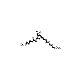 CCCCCCCCCCCCCCCCCCN(CCO)CCOC(=O)CCCCCCCCCCCCCC